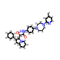 Cc1ccnc(N2CCCN(c3ccc(NC(=O)C(=O)c4c(-c5ccccc5)cc5ccccn45)cc3)CC2)c1